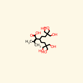 CC(C)=C(C(=O)O)C(CCC(CO)(CO)CO)CCC(CO)(CO)CO